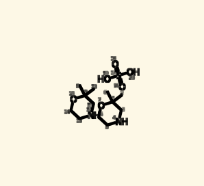 CC1(C)CNCCO1.CC1(C)CNCCO1.O=S(=O)(O)O